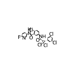 O=C(Nc1ccc(F)nc1)c1cc(NC(=O)[C@H]2[C@H](c3cc(Cl)cc(Cl)c3)C2(Cl)Cl)ccc1Cl